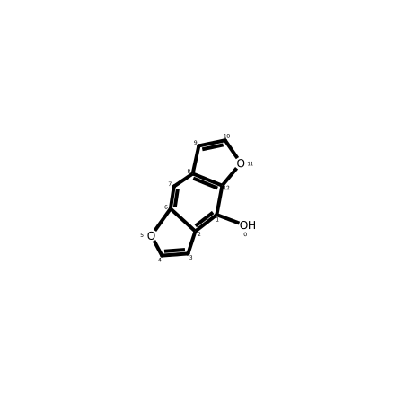 Oc1c2ccoc2cc2ccoc12